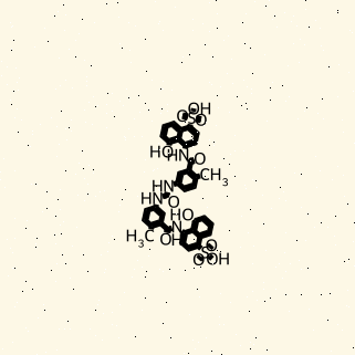 Cc1ccc(NC(=O)Nc2ccc(C)c(C(=O)Nc3ccc(S(=O)(=O)O)c4cccc(O)c34)c2)cc1C(=O)Nc1ccc(S(=O)(=O)O)c2cccc(O)c12